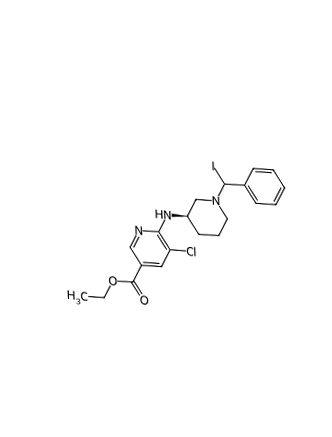 CCOC(=O)c1cnc(N[C@@H]2CCCN(C(I)c3ccccc3)C2)c(Cl)c1